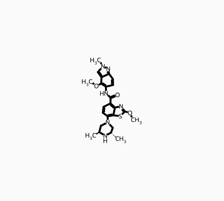 COc1nc2c(C(=O)Nc3ccc4nn(C)cc4c3OC)ccc(N3C[C@H](C)N[C@@H](C)C3)c2s1